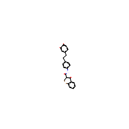 O=C(Nc1ccc(CCc2ccc(O)c(O)c2)cc1)C1CSc2ccccc2C1=O